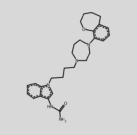 NC(=O)Nc1cn(CCCCN2CCCN(c3cccc4c3OCCCC4)CC2)c2ccccc12